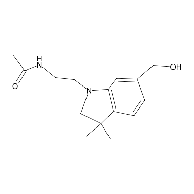 CC(=O)NCCN1CC(C)(C)c2ccc(CO)cc21